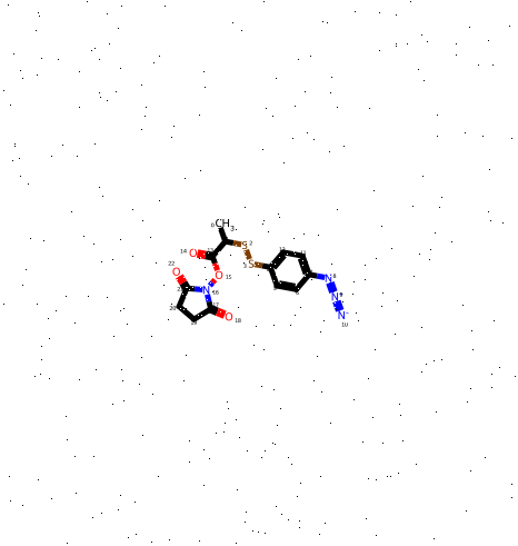 CC(SSc1ccc(N=[N+]=[N-])cc1)C(=O)ON1C(=O)CCC1=O